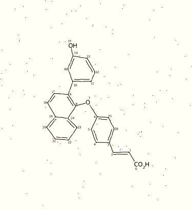 O=C(O)/C=C/c1ccc(Oc2c(-c3cccc(O)c3)ccc3ccccc23)cc1